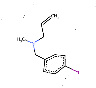 C=CCN(C)Cc1ccc(I)cc1